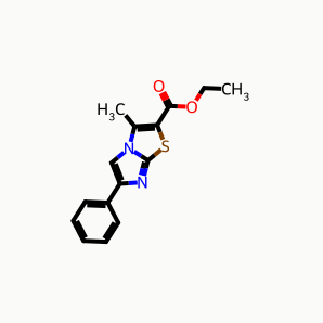 CCOC(=O)c1sc2nc(-c3ccccc3)cn2c1C